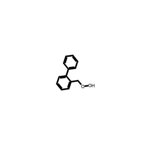 OOCc1ccccc1-c1ccccc1